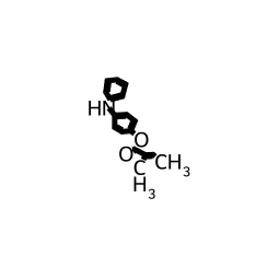 CC=C(C)C(=O)Oc1ccc(Nc2ccccc2)cc1